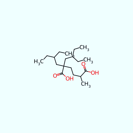 CCC(CC)CC(CCC(C)C(=O)O)(CC(CC)CC)C(=O)O